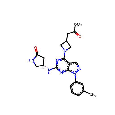 COC(=O)CC1CN(c2nc(N[C@@H]3CNC(=O)C3)nc3c2cnn3-c2cccc(C(F)(F)F)c2)C1